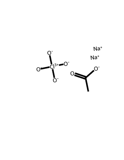 CC(=O)[O-].[Na+].[Na+].[O-][Cl+3]([O-])([O-])[O-]